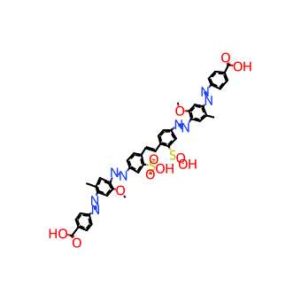 COc1cc(N=Nc2ccc(C(=O)O)cc2)c(C)cc1N=Nc1ccc(C=Cc2ccc(N=Nc3cc(C)c(N=Nc4ccc(C(=O)O)cc4)cc3OC)cc2S(=O)(=O)O)c(SOO)c1